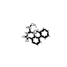 CNC1=NS(=O)(=O)c2cccc(-c3ccccc3Cl)c2N1